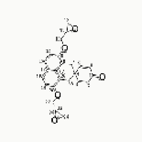 O=C1C=CC2(C=C1)Cc1c(OCC3CO3)ccc3ccc(OC[C@@H]4CO4)c(c13)C2